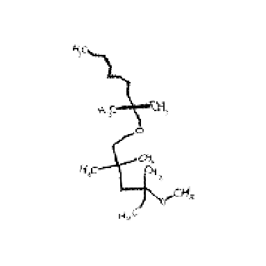 CCCCC(C)(C)OCC(C)(C)CC(C)(C)OC